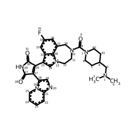 CN(C)CC1CCN(C(=O)N2CCn3cc(C4=C(c5cnc6ccccn56)C(=O)NC4=O)c4cc(F)cc(c43)C2)CC1